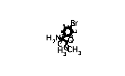 COC(=O)C(C)(N)c1ccc(Br)cc1